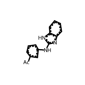 CC(=O)c1cccc(Nc2nc3ccccc3[nH]2)c1